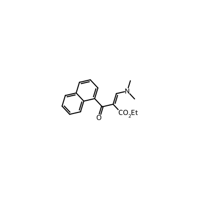 CCOC(=O)C(=CN(C)C)C(=O)c1cccc2ccccc12